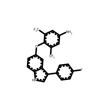 Nc1cc(C(F)(F)F)c(Oc2ccc3[nH]cc(-c4ccc(F)cc4)c3c2)c(C(F)(F)F)c1